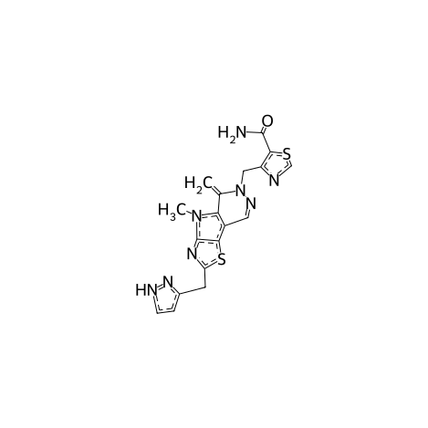 C=C1c2c(c3sc(Cc4cc[nH]n4)nc3n2C)C=NN1Cc1ncsc1C(N)=O